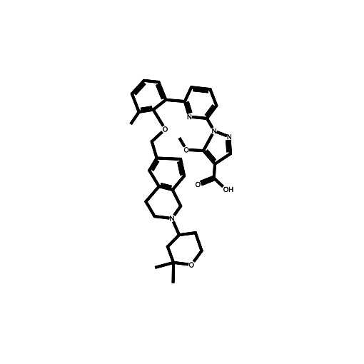 COc1c(C(=O)O)cnn1-c1cccc(-c2cccc(C)c2OCc2ccc3c(c2)CCN(C2CCOC(C)(C)C2)C3)n1